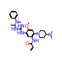 C=CC(=O)Nc1cc(NC(=N)NC(C)N(C)c2ccccc2)c(OC)cc1N1CCC(N(C)C)CC1